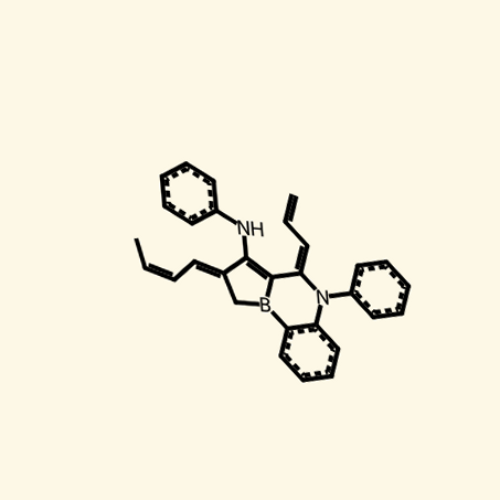 C=C/C=C1C2=C(Nc3ccccc3)/C(=C/C=C\C)CB2c2ccccc2N\1c1ccccc1